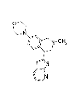 CN1Cc2cc(N3CCOCC3)ccc2C(c2cc3cccnc3s2)C1